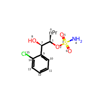 CCC[C@@H](OS(N)(=O)=O)[C@H](O)c1ccccc1Cl